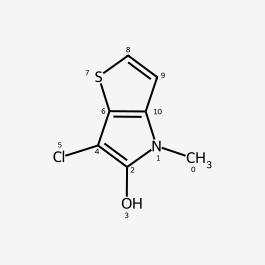 Cn1c(O)c(Cl)c2sccc21